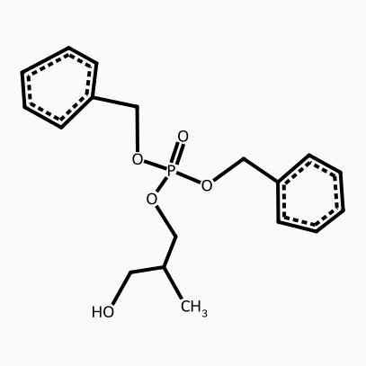 CC(CO)COP(=O)(OCc1ccccc1)OCc1ccccc1